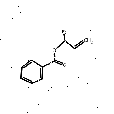 C=CC(CC)OC(=O)c1ccccc1